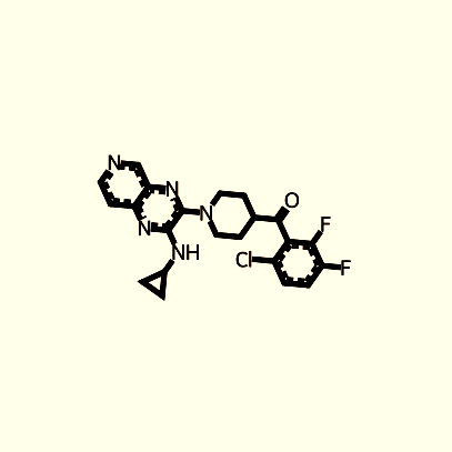 O=C(c1c(Cl)ccc(F)c1F)C1CCN(c2nc3cnccc3nc2NC2CC2)CC1